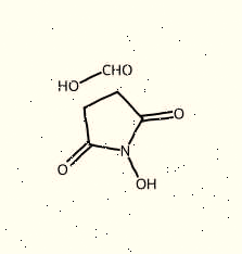 O=C1CCC(=O)N1O.O=CO